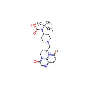 CC(C)(C)N(C(=O)O)C1CCN(C[C@@H]2CCn3c(=O)cnc4ccc(=O)n2c43)CC1